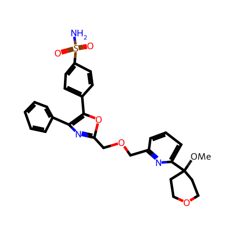 COC1(c2cccc(COCc3nc(-c4ccccc4)c(-c4ccc(S(N)(=O)=O)cc4)o3)n2)CCOCC1